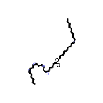 CCCCC/C=C\C/C=C\C/C=C\C/C=C\CCCC(=O)OCCCCCCCC/C=C\CCCCCCCC